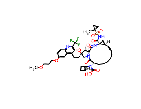 COCCCOc1ccc2nc(C(F)(F)F)c3c(c2c1)CC[C@]1(C[C@H]2C(=O)N[C@]4(C(=O)NS(=O)(=O)C5(C)CC5)C[C@H]4/C=C\CCCCC[C@H](N(C(=O)O)C4(C)CCC4)C(=O)N2C1)O3